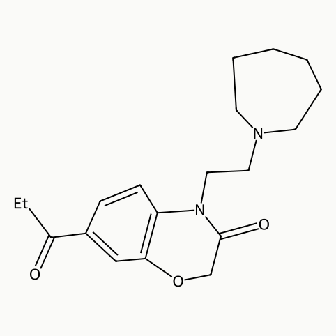 CCC(=O)c1ccc2c(c1)OCC(=O)N2CCN1CCCCCC1